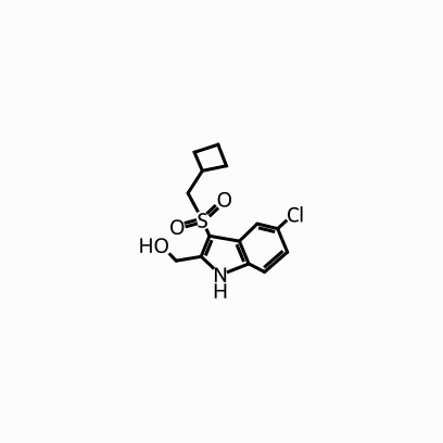 O=S(=O)(CC1CCC1)c1c(CO)[nH]c2ccc(Cl)cc12